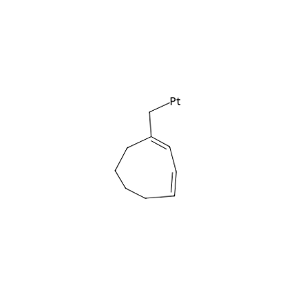 [Pt][CH2]C1=CC=CCCCC1